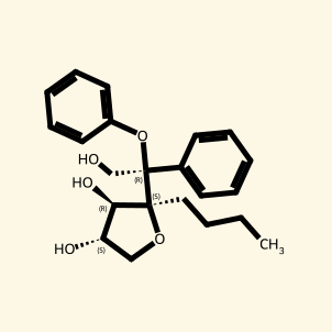 CCCC[C@]1([C@@](CO)(Oc2ccccc2)c2ccccc2)OC[C@H](O)[C@H]1O